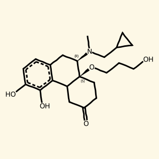 CN(CC1CC1)[C@@H]1Cc2ccc(O)c(O)c2C2CC(=O)CC[C@]21OCCCO